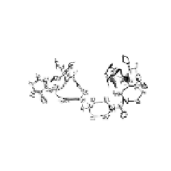 O=C1CO[C@H]2CCN(C(=O)N3CCC(Cc4ccc(C(F)(F)F)c(-c5ccccc5)c4)CC3)C[C@H]2N1